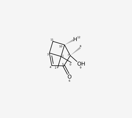 CC1(C)C2=CC(=O)[C@](C)(O)[C@@H]1C2